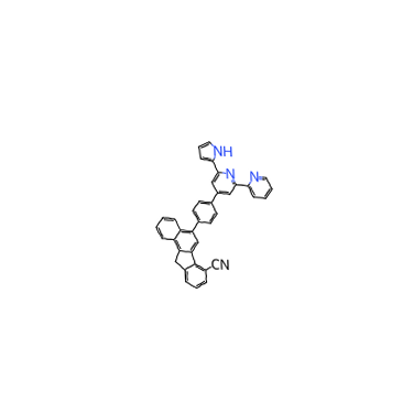 N#Cc1cccc2c1-c1cc(-c3ccc(-c4cc(-c5ccccn5)nc(-c5ccc[nH]5)c4)cc3)c3ccccc3c1C2